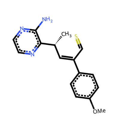 COc1ccc(/C(C=S)=C/[C@@H](C)c2nccnc2N)cc1